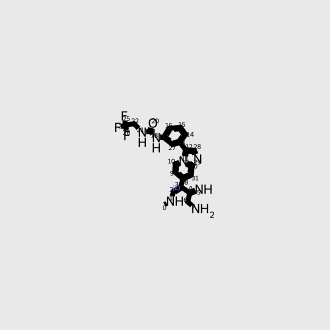 CN/C=C(\C(=N)CN)c1ccn2c(-c3cccc(NC(=O)NCC(F)(F)F)c3)cnc2c1